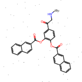 CC(C)(C)NCC(=O)c1ccc(OC(=O)c2ccc3ccccc3c2)c(OC(=O)c2ccc3ccccc3c2)c1